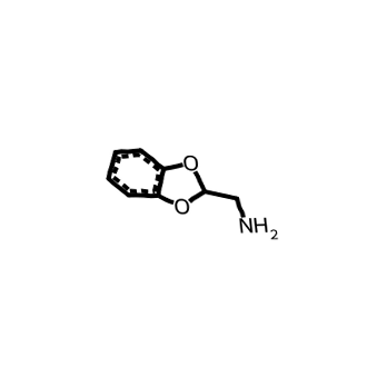 NCC1Oc2ccccc2O1